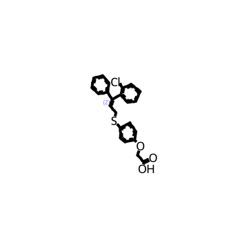 O=C(O)COc1ccc(SC/C=C(/c2ccccc2)c2ccccc2Cl)cc1